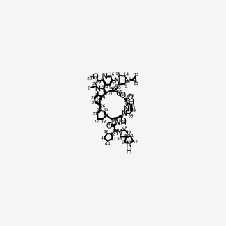 CCn1c(-c2cc(N3CCN(C4CC4)CC3)cnc2[C@H](C)OC)c2c3cc(ccc31)-c1cccc(c1)C[C@H](NC(=O)[C@H](C1CCCC1)N1CC[C@]3(CCNC3)C1)C(=O)N1CCC[C@H](N1)C(=O)OCC(C)(C)C2